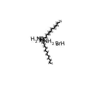 Br.CCCCCCCCCCCCC(N)(CCCCCCCCCCCC)C(C)(C)N